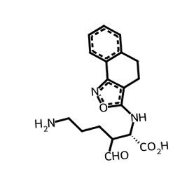 NCCCC(C=O)[C@H](Nc1onc2c1CCc1ccccc1-2)C(=O)O